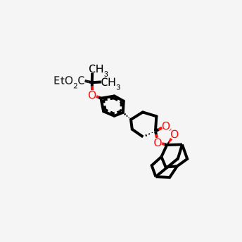 CCOC(=O)C(C)(C)Oc1ccc([C@H]2CC[C@]3(CC2)OO[C@]2(O3)C3CC4CC(C3)CC2C4)cc1